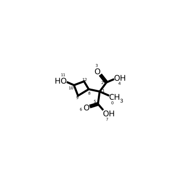 CC(C(=O)O)(C(=O)O)C1CC(O)C1